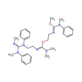 C/N=C(/N(C)c1ccccc1)N(CC/N=C(\OCC/N=C(\OC)N(C)c1ccccc1)N(C)C)c1ccccc1